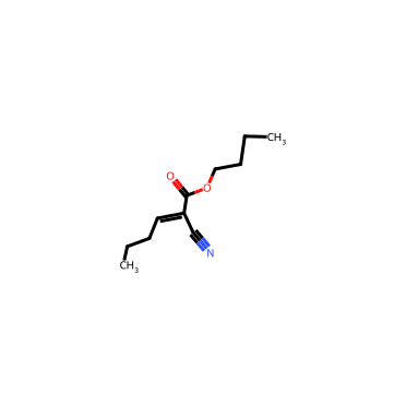 CCC/C=C(\C#N)C(=O)OCCCC